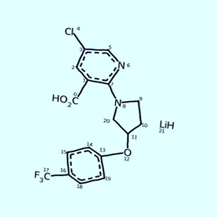 O=C(O)c1cc(Cl)cnc1N1CCC(Oc2ccc(C(F)(F)F)cc2)C1.[LiH]